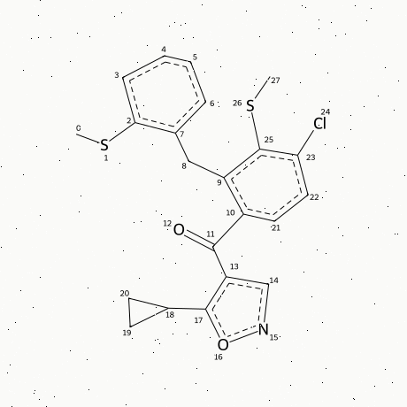 CSc1ccccc1Cc1c(C(=O)c2cnoc2C2CC2)ccc(Cl)c1SC